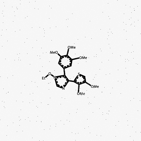 CCOn1cnc(-c2scc(OC)c2OC)c1-c1cc(OC)c(OC)c(OC)c1